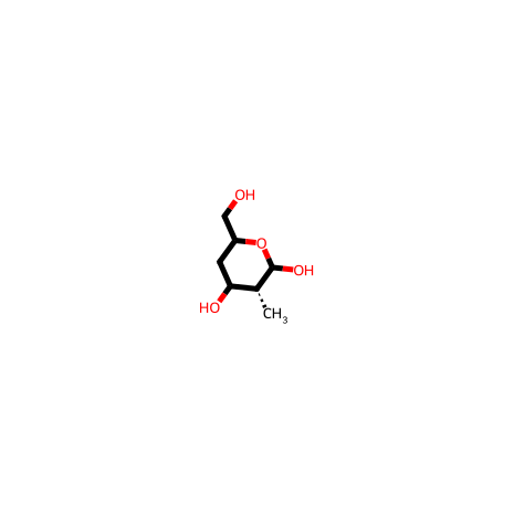 C[C@@H]1C(O)CC(CO)OC1O